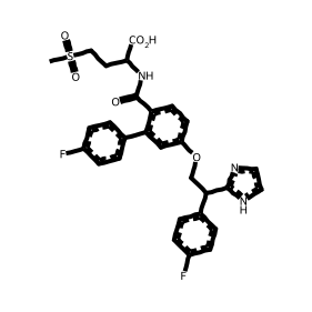 CS(=O)(=O)CCC(NC(=O)c1ccc(OCC(c2ccc(F)cc2)c2ncc[nH]2)cc1-c1ccc(F)cc1)C(=O)O